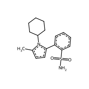 Cc1ccc(-c2ccccc2S(N)(=O)=O)n1C1CCCCC1